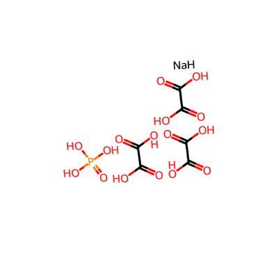 O=C(O)C(=O)O.O=C(O)C(=O)O.O=C(O)C(=O)O.O=P(O)(O)O.[NaH]